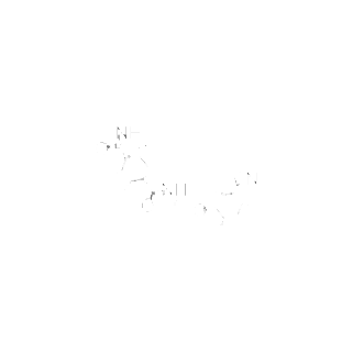 N#Cc1cccc(OCCNC(=O)c2ccc(C(N)=O)cc2)c1